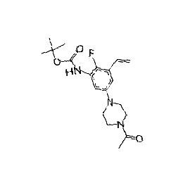 C=Cc1cc(N2CCN(C(C)=O)CC2)cc(NC(=O)OC(C)(C)C)c1F